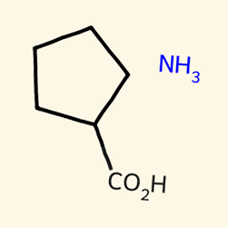 N.O=C(O)C1CCCC1